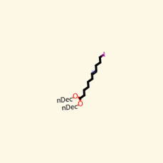 CCCCCCCCCCOC(CCCCC/C=C/CCCI)OCCCCCCCCCC